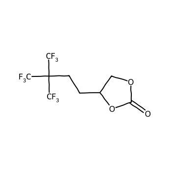 O=C1OCC(CCC(C(F)(F)F)(C(F)(F)F)C(F)(F)F)O1